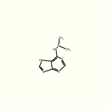 CN(C)Nc1ncnc2nc[nH]c12